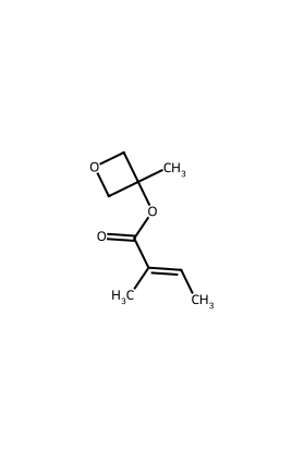 CC=C(C)C(=O)OC1(C)COC1